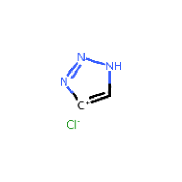 [C+]1=CNN=N1.[Cl-]